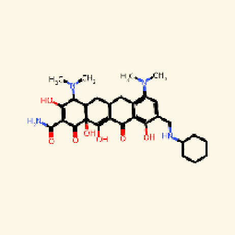 CN(C)c1cc(CNC2CCCCC2)c(O)c2c1CC1CC3C(N(C)C)C(O)=C(C(N)=O)C(=O)C3(O)C(O)=C1C2=O